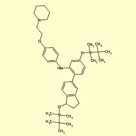 CC(C)(C)[Si](C)(C)Oc1ccc(-c2ccc3c(c2)CCC3O[Si](C)(C)C(C)(C)C)c(Nc2ccc(OCCN3CCCCC3)cc2)c1